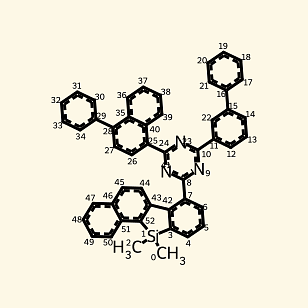 C[Si]1(C)c2cccc(-c3nc(-c4cccc(-c5ccccc5)c4)nc(-c4ccc(-c5ccccc5)c5ccccc45)n3)c2-c2ccc3ccccc3c21